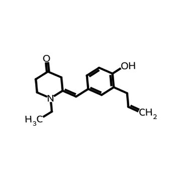 C=CCc1cc(C=C2CC(=O)CCN2CC)ccc1O